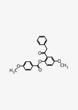 COc1ccc(C(=O)Oc2ccc(OC)cc2C(=O)Cc2ccccc2)cc1